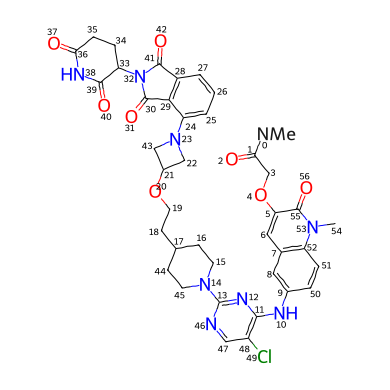 CNC(=O)COc1cc2cc(Nc3nc(N4CCC(CCOC5CN(c6cccc7c6C(=O)N(C6CCC(=O)NC6=O)C7=O)C5)CC4)ncc3Cl)ccc2n(C)c1=O